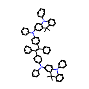 CC1(C)c2ccccc2N(c2ccccc2)c2ccc(N(c3ccccc3)c3ccc(/C(=C(\c4ccccc4)c4ccc(N(c5ccccc5)c5ccc6c(c5)C(C)(C)c5ccccc5N6c5ccccc5)cc4)c4ccccc4)cc3)cc21